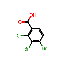 O=C(O)c1ccc(Br)c(Br)c1Cl